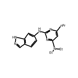 CCCc1cc(N(CC)CC)nc(Nc2ccc3cn[nH]c3c2)n1